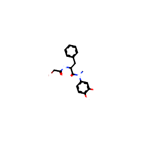 CN(C(=O)C(Cc1ccccc1)NC(=O)CBr)c1ccc(O)c(O)c1